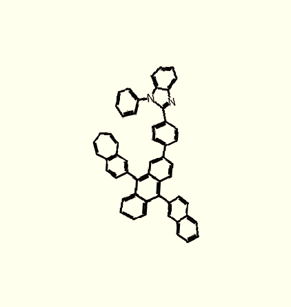 C1=Cc2ccc(-c3c4ccccc4c(-c4ccc5ccccc5c4)c4ccc(-c5ccc(-c6nc7ccccc7n6-c6ccccc6)cc5)cc34)cc2C=CC1